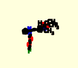 CN(C(=O)OC(C)(C)C)c1ccc(C#Cc2nc3ccccc3n2CCOCCOCCF)cc1